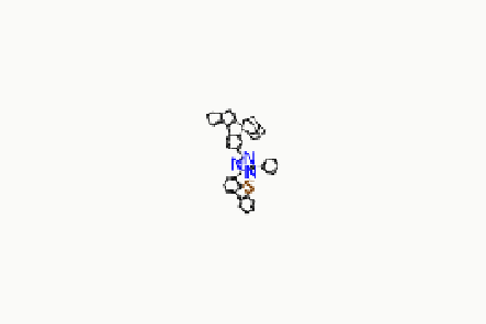 c1ccc(-c2nc(-c3ccc4c(c3)C3(c5ccc6ccccc6c5-4)C4CC5CC(C4)CC3C5)nc(-c3cccc4c3sc3ccccc34)n2)cc1